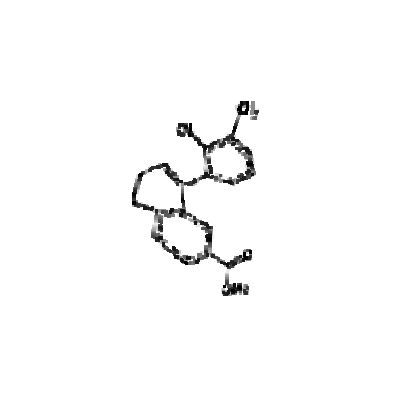 [C-]#[N+]c1c(C)cccc1C1=CCCc2ccc(C(=O)OC)cc21